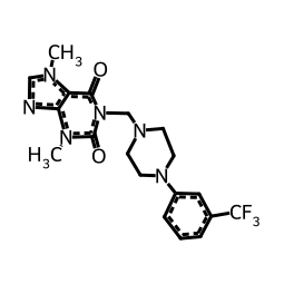 Cn1cnc2c1c(=O)n(CN1CCN(c3cccc(C(F)(F)F)c3)CC1)c(=O)n2C